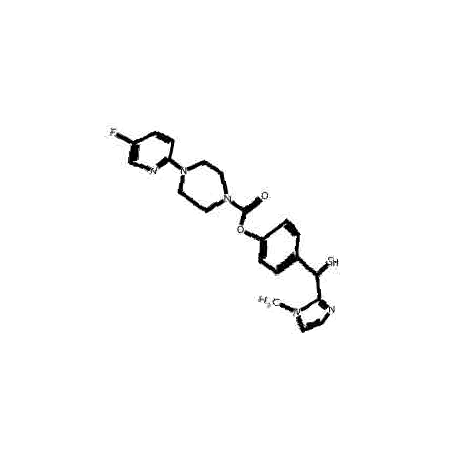 Cn1ccnc1C(S)c1ccc(OC(=O)N2CCN(c3ccc(F)cn3)CC2)cc1